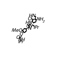 COc1cc(-c2nc(Nc3ccc(N)c(C=N)c3Cl)n(CC(C)C)n2)ccc1OCC(=O)NC(C)C